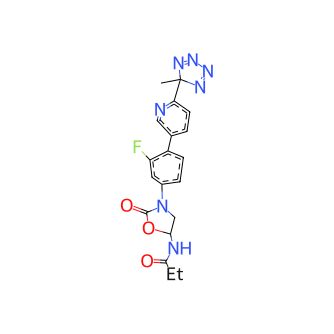 CCC(=O)NC1CN(c2ccc(-c3ccc(C4(C)N=NN=N4)nc3)c(F)c2)C(=O)O1